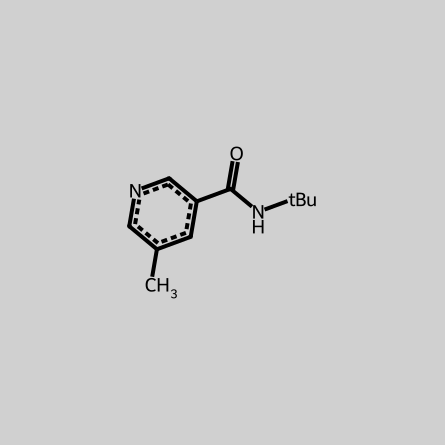 Cc1cncc(C(=O)NC(C)(C)C)c1